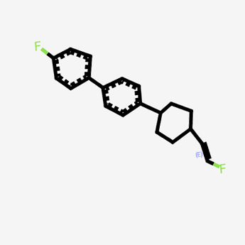 F/C=C/C1CCC(c2ccc(-c3ccc(F)cc3)cc2)CC1